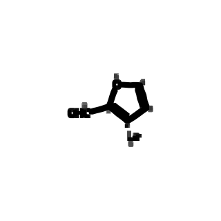 O=Cc1ccco1.[La]